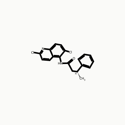 C[C@H](CC(=O)Nc1c(Cl)ccc2nc(Cl)ccc12)c1ccccc1